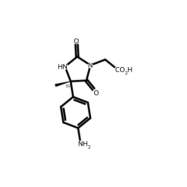 C[C@@]1(c2ccc(N)cc2)NC(=O)N(CC(=O)O)C1=O